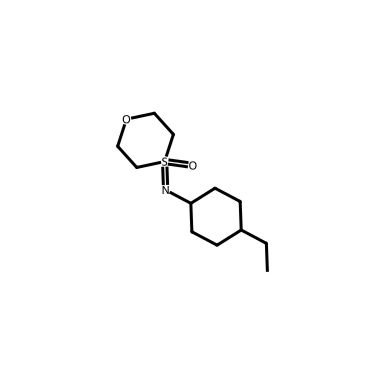 CCC1CCC(N=S2(=O)CCOCC2)CC1